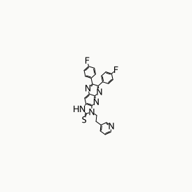 Fc1ccc(-c2nc3cc4[nH]c(=S)n(CCc5cccnc5)c4nc3nc2-c2ccc(F)cc2)cc1